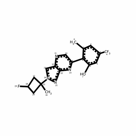 Cc1cc(C(F)(F)F)cc(O)c1-c1cnc2cn(C3(C)CC(F)C3)nc2n1